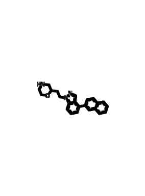 c1ccc2cc(-c3cccc4c3cnn4CCC3CNCCO3)ccc2c1